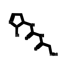 CCCCCCCCCC(=O)NC(=O)NC1CC=NN1CC